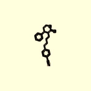 N#Cc1ccc(CCCCC2C(=O)OCCC2c2ccccc2)cc1